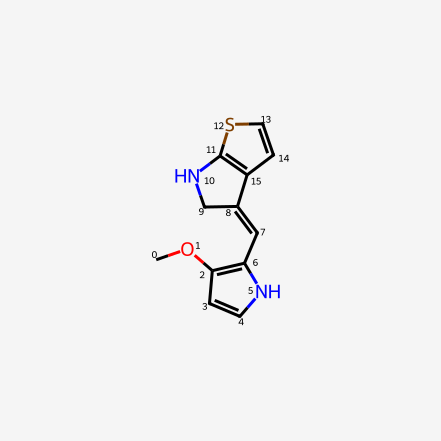 COc1cc[nH]c1/C=C1\CNc2sccc21